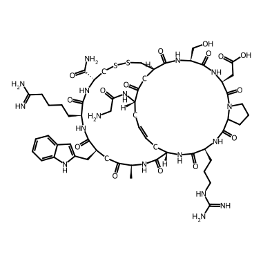 C[C@@H]1NC(=O)[C@@H]2CC=CC[C@H](NC(=O)CN)C(=O)C[C@@H](CSSC[C@@H](C(N)=O)NC(=O)[C@H](CCCCC(=N)N)NC(=O)[C@H](Cc3cc4ccccc4[nH]3)CC1=O)C(=O)N[C@@H](CO)C(=O)N[C@@H](CC(=O)O)C(=O)N1CCCC1C(=O)N[C@@H](CCCNC(=N)N)C(=O)N2